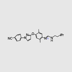 Cc1cc(Oc2ccn(-c3ccc(C#N)cc3)n2)c(C)cc1/N=C/NCCC(C)C